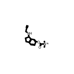 C#CCNC1CCc2ccc(OC(=O)[N+](C)(C)C)cc21